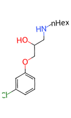 [CH2]CCCCCNCC(O)COc1cccc(Cl)c1